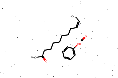 C=O.CCCCCCCC/C=C\CCCCCCCC(=O)OC.Oc1ccccc1